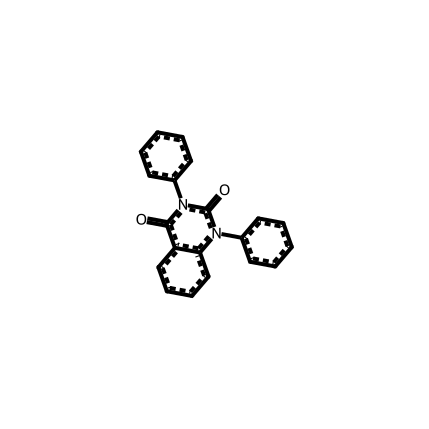 O=c1c2ccccc2n(-c2ccccc2)c(=O)n1-c1ccccc1